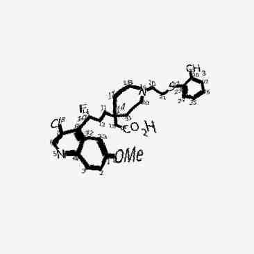 COc1ccc2ncc(Cl)c([C@H](F)CCC3(CC(=O)O)CCN(CCSc4ccccc4C)CC3)c2c1